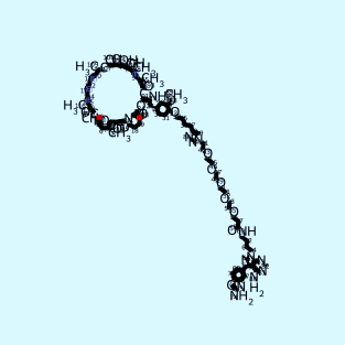 CO[C@H]1C[C@@H]2CC[C@@H](C)[C@@](O)(O2)C(=O)C(=O)N2CCCC[C@H]2C(=O)O[C@H]([C@H](N)C[C@@H]2CC[C@@H](OCCCCc3cn(CCOCCOCCOCCOCCOCCC(=O)NCCCCn4nc(-c5ccc6oc(N)nc6c5)c5c(N)ncnc54)nn3)[C@H](OC)C2)CC(=O)[C@H](C)/C=C(\C)[C@@H](O)[C@@H](O)C(=O)[C@H](C)C[C@H](C)/C=C/C=C/C=C/1C